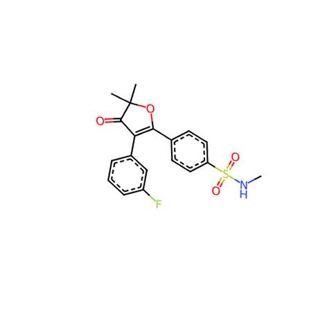 CNS(=O)(=O)c1ccc(C2=C(c3cccc(F)c3)C(=O)C(C)(C)O2)cc1